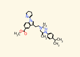 C=C(CN(C)CCc1cn(C2=CCCC=N2)c2ccc(C(=O)OC)cc12)Nc1ccc(C(C)C)cc1